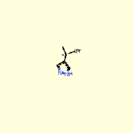 CC(C)[C@H](C)c1cn[nH]c1